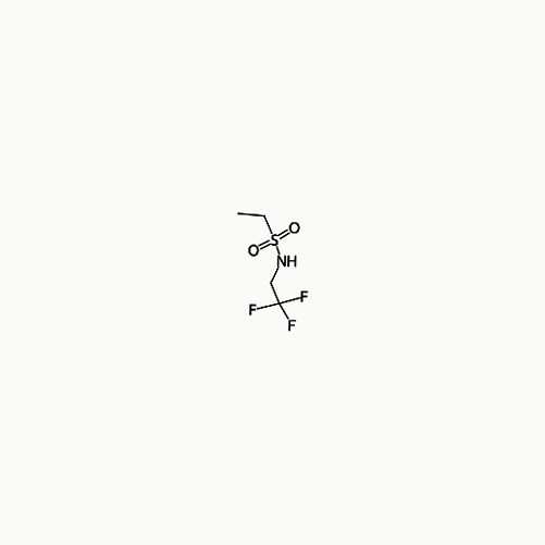 CCS(=O)(=O)NCC(F)(F)F